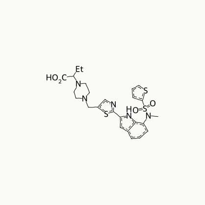 CCC(C(=O)O)N1CCN(Cc2cnc(-c3cc4cccc(N(C)S(=O)(=O)c5cccs5)c4[nH]3)s2)CC1